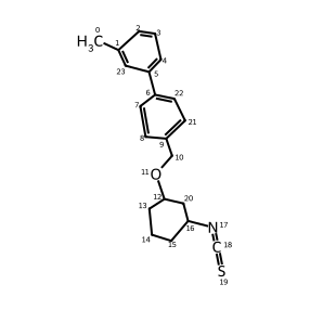 Cc1cccc(-c2ccc(COC3CCCC(N=C=S)C3)cc2)c1